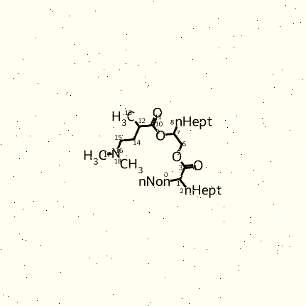 CCCCCCCCCC(CCCCCCC)C(=O)OCC(CCCCCCC)OC(=O)C(C)CCN(C)C